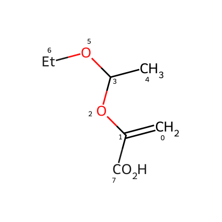 C=C(OC(C)OCC)C(=O)O